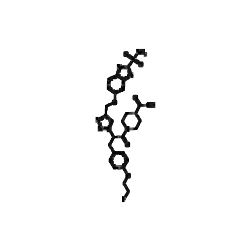 NS(=O)(=O)c1nc2ccc(OCc3cn(C(Cc4ccc(OCCF)cc4)C(=O)N4CCC(C(=O)O)CC4)nn3)cc2s1